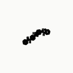 CC1CCCCC1NC(=O)c1ccc2[nH]c(-c3ccc(NC(=O)c4ccccc4)cc3)nc2c1